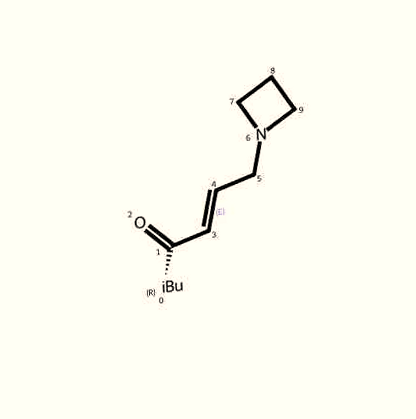 CC[C@@H](C)C(=O)/C=C/CN1CCC1